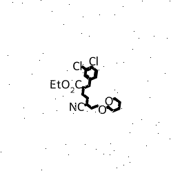 CCOC(=O)C(CCC(C#N)CCOC1CCCCO1)Cc1ccc(Cl)c(Cl)c1